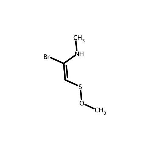 CN/C(Br)=C\SOC